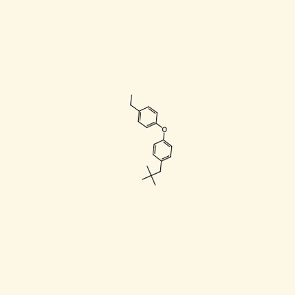 CCc1ccc(Oc2ccc(CC(C)(C)C)cc2)cc1